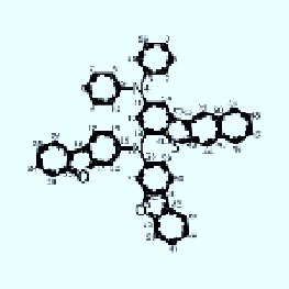 c1ccc(N(c2ccccc2)c2cc(N(c3ccc4c(c3)oc3ccccc34)c3ccc4c(c3)oc3ccccc34)c3sc4cc5ccccc5cc4c3c2)cc1